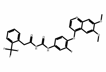 COc1cc2nccc(Oc3ccc(NC(=O)NC(=O)Cc4ccccc4C(F)(F)F)cc3F)c2cc1OC